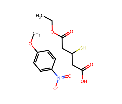 CCOC(=O)CC(S)CC(=O)O.COc1ccc([N+](=O)[O-])cc1